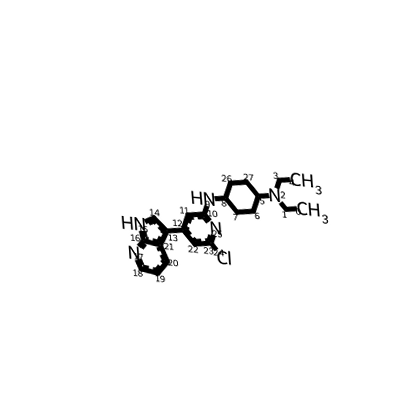 CCN(CC)C1CCC(Nc2cc(-c3c[nH]c4ncccc34)cc(Cl)n2)CC1